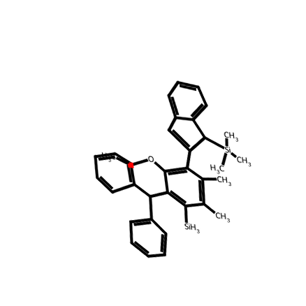 CCOc1c(C2=Cc3ccccc3C2[Si](C)(C)C)c(C)c(C)c([SiH3])c1C(c1ccccc1)c1ccccc1